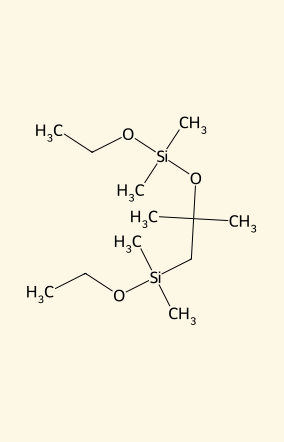 CCO[Si](C)(C)CC(C)(C)O[Si](C)(C)OCC